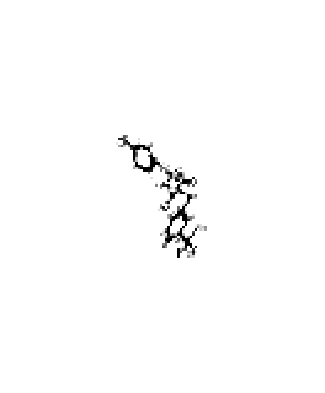 O=C1N/C(=N\c2ccc(Cl)cc2)S(=O)(=O)C1Cc1cccc(C(F)(F)F)c1